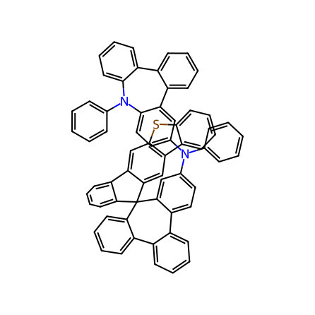 c1ccc(N(c2ccc3c(c2)-c2ccccc2-c2ccccc2N3c2ccccc2)c2ccc3c(c2)C2(c4ccccc4-c4ccccc4-3)c3ccccc3-c3cc4sc5ccccc5c4cc32)cc1